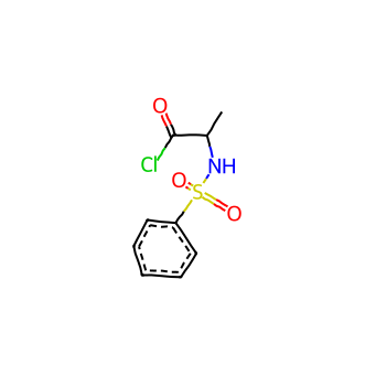 CC(NS(=O)(=O)c1ccccc1)C(=O)Cl